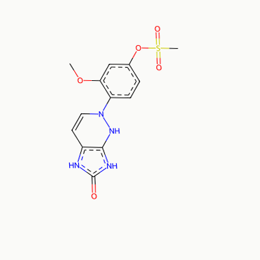 COc1cc(OS(C)(=O)=O)ccc1N1C=Cc2[nH]c(=O)[nH]c2N1